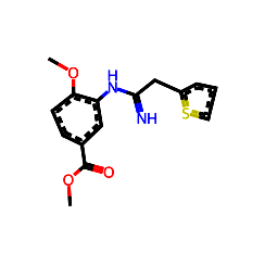 COC(=O)c1ccc(OC)c(NC(=N)Cc2cccs2)c1